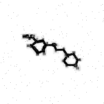 O=C(O)c1cc(OCCN2CCOCC2)ncn1